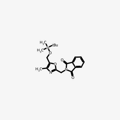 Cc1nc(CN2C(=O)c3ccccc3C2=O)oc1CO[Si](C)(C)C(C)(C)C